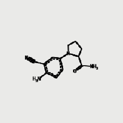 N#Cc1cc(N2CCCC2C(N)=O)ccc1N